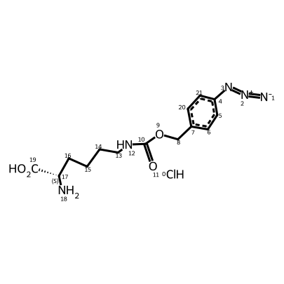 Cl.[N-]=[N+]=Nc1ccc(COC(=O)NCCCC[C@H](N)C(=O)O)cc1